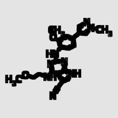 COCCNc1nc(Nc2ccc(-c3cnn(C)c3)cc2OC)nc2[nH]cc(C#N)c12